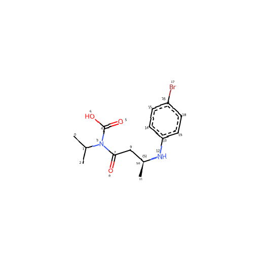 CC(C)N(C(=O)O)C(=O)C[C@H](C)Nc1ccc(Br)cc1